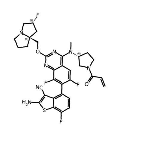 C=CC(=O)N1CC[C@@H](N(C)c2nc(OC[C@@]34CCCN3C[C@H](F)C4)nc3c(F)c(-c4ccc(F)c5sc(N)c(C#N)c45)c(F)cc23)C1